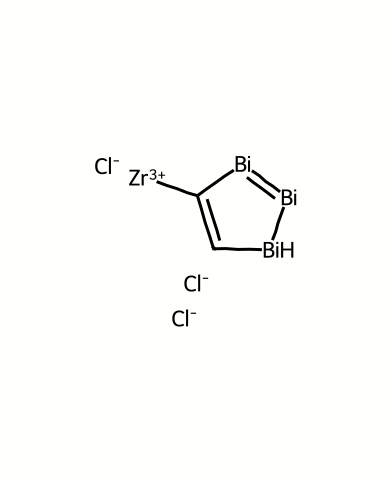 [Cl-].[Cl-].[Cl-].[Zr+3][C]1=[CH][BiH][Bi]=[Bi]1